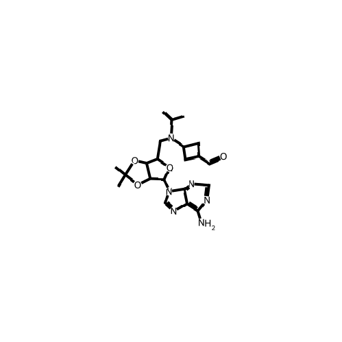 CC(C)N(CC1OC(n2cnc3c(N)ncnc32)C2OC(C)(C)OC12)C1CC(C=O)C1